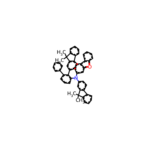 CC1(C)c2ccccc2-c2ccc(-c3c(-c4ccccc4)cccc3N(c3ccc4c(c3)C(C)(C)c3ccccc3-4)c3ccc4c(c3)oc3ccccc34)cc21